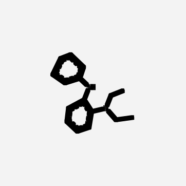 CCN(CC)c1ccccc1Nc1ccccc1